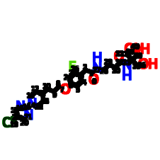 O=C(Cc1ccc(OCCCC2CCN(c3ncc(Cl)cn3)CC2)cc1F)NCCCC(=O)NC(CO)(CO)CO